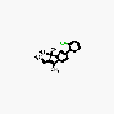 C=CC1=C(C)c2ccc(-c3ccccc3Cl)cc2C1(C)C